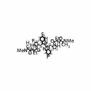 CC[C@H](NC(=O)[C@H](C)NC)C(=O)N1CCC[C@H]1Cn1c(-c2[nH]c3cc(F)ccc3c2C[C@@H]2C[C@H](F)CN2C(=O)[C@H](CC)NC(=O)[C@H](C)NC)nc2cc(F)ccc21